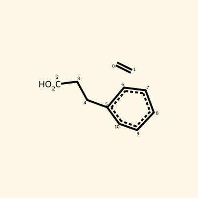 C=C.O=C(O)CCc1ccccc1